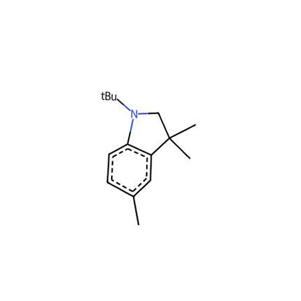 Cc1ccc2c(c1)C(C)(C)CN2C(C)(C)C